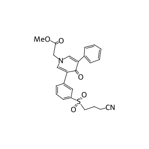 COC(=O)Cn1cc(-c2ccccc2)c(=O)c(-c2cccc(S(=O)(=O)CCCC#N)c2)c1